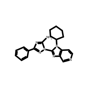 Nc1nc(-c2ccccc2)nn1-c1nc2cnccc2n1C1CCCCC1